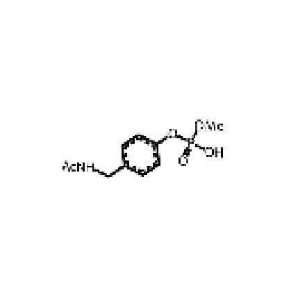 COP(=O)(O)Oc1ccc(CNC(C)=O)cc1